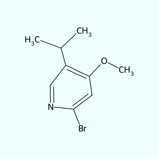 COc1cc(Br)ncc1C(C)C